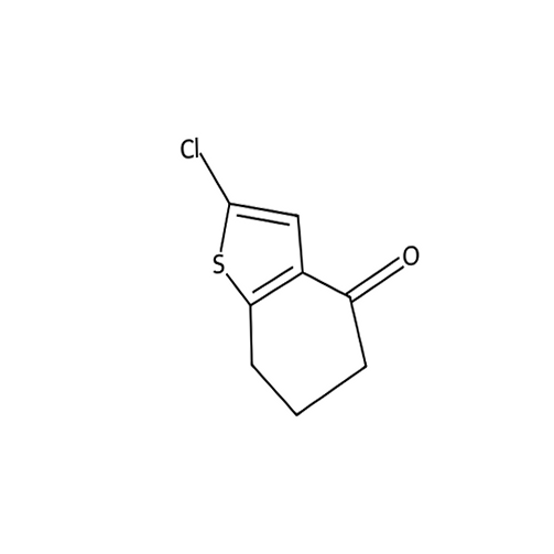 O=C1CCCc2sc(Cl)cc21